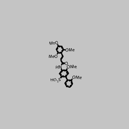 COc1cc(OC)c(C=CC(=O)Nc2cc(S(=O)(=O)O)c(-c3ccccc3OC)cc2OC)c(OC)c1